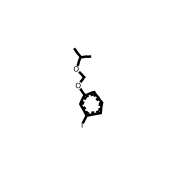 CC(C)OCOc1cccc(I)c1